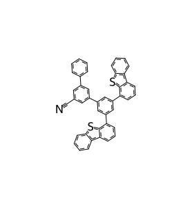 N#Cc1cc(-c2ccccc2)cc(-c2cc(-c3cccc4c3sc3ccccc34)cc(-c3cccc4c3sc3ccccc34)c2)c1